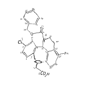 O=C(O)COc1ccc(Cl)cc1C1c2cccc(F)c2CCN1C(=O)OCc1ccccc1